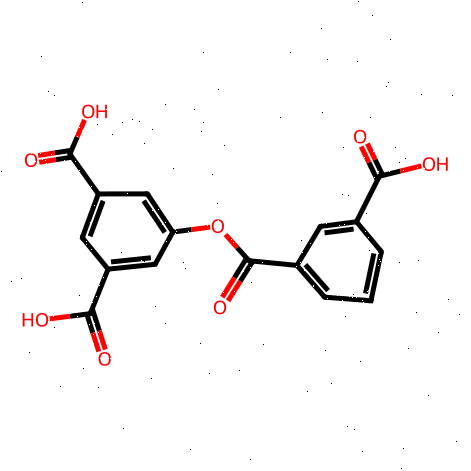 O=C(O)c1cc(OC(=O)c2cccc(C(=O)O)c2)cc(C(=O)O)c1